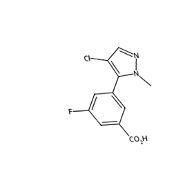 Cn1ncc(Cl)c1-c1cc(F)cc(C(=O)O)c1